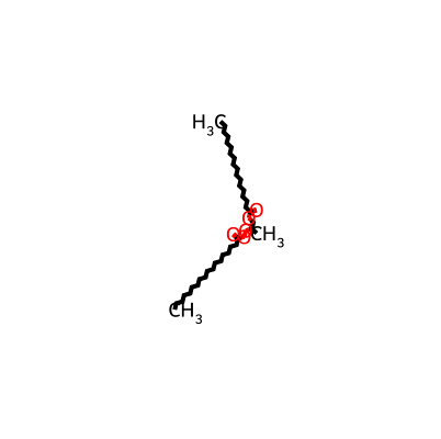 CCCCCCCCCCCCCCCCCC(=O)OCC(C)OOC(=O)CCCCCCCCCCCCCCCCC